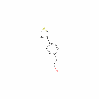 OCCc1ccc(-c2ccsc2)cc1